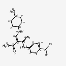 N=C(Nc1ccc(C(F)F)nc1)/C(=C\NC1CCC(O)CC1)C(N)=O